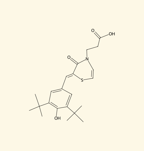 CC(C)(C)c1cc(/C=C2\SC=CN(CCC(=O)O)C2=O)cc(C(C)(C)C)c1O